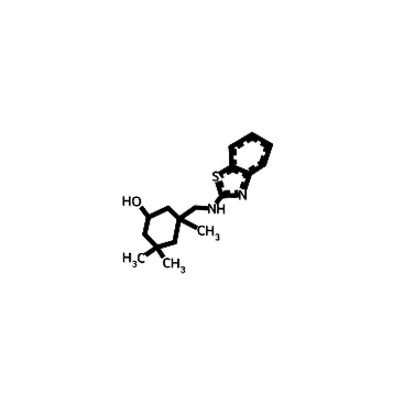 CC1(C)CC(O)CC(C)(CNc2nc3ccccc3s2)C1